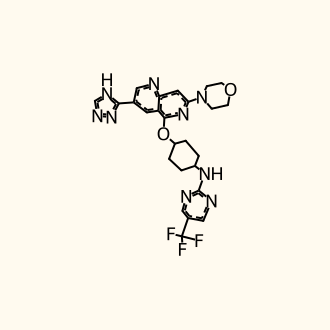 FC(F)(F)c1cnc(NC2CCC(Oc3nc(N4CCOCC4)cc4ncc(-c5nnc[nH]5)cc34)CC2)nc1